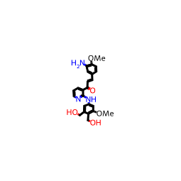 COc1ccc(/C=C/C(=O)c2cccnc2Nc2cc(CO)c(CO)c(OC)c2)cc1N